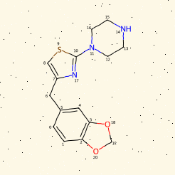 c1cc2c(cc1Cc1csc(N3CCNCC3)n1)OCO2